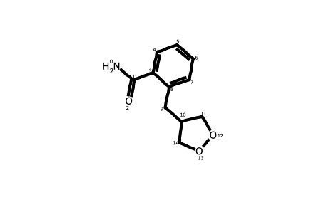 NC(=O)c1ccccc1CC1COOC1